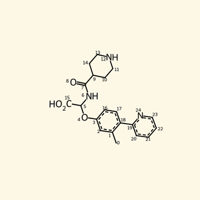 Cc1cc(OC(NC(=O)C2CCNCC2)C(=O)O)ccc1-c1ccccn1